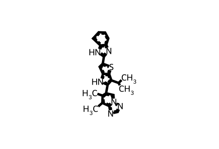 Cc1c(-c2[nH]c3cc(-c4nc5ccccc5[nH]4)sc3c2C(C)C)cn2ncnc2c1C